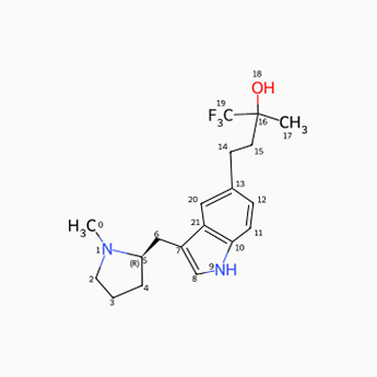 CN1CCC[C@@H]1Cc1c[nH]c2ccc(CCC(C)(O)C(F)(F)F)cc12